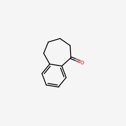 O=C1CCCCc2cc[c]cc21